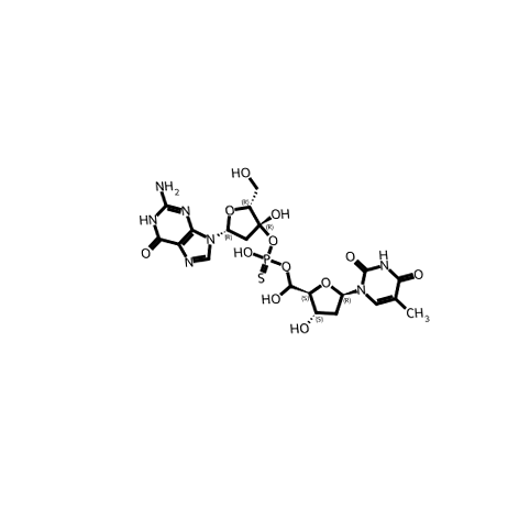 Cc1cn([C@H]2C[C@H](O)[C@@H](C(O)OP(O)(=S)O[C@]3(O)C[C@H](n4cnc5c(=O)[nH]c(N)nc54)O[C@@H]3CO)O2)c(=O)[nH]c1=O